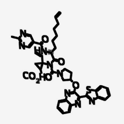 C=CCCCCC[C@H](NC(=O)c1cnc(C)nc1)C(=O)N(C(=O)N1CCC(Oc2nc3ccccc3nc2-c2nc3ccccc3s2)C1)C1(C=C)CC1C(=O)O